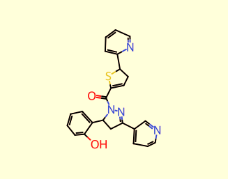 O=C(C1=CCC(c2ccccn2)S1)N1N=C(c2cccnc2)CC1c1ccccc1O